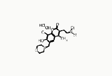 CCN(CC)CCc1c(C)c2cc(CN3CCOCC3)c(O)c(Cl)c2oc1=O.Cl.Cl